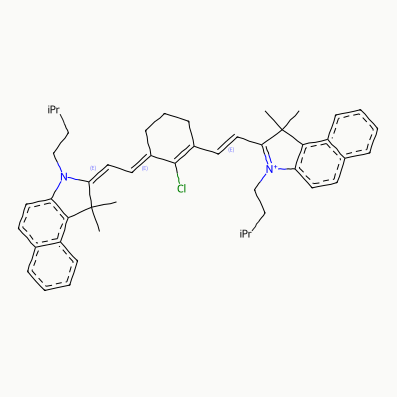 CC(C)CCN1/C(=C/C=C2\CCCC(/C=C/C3=[N+](CCC(C)C)c4ccc5ccccc5c4C3(C)C)=C2Cl)C(C)(C)c2c1ccc1ccccc21